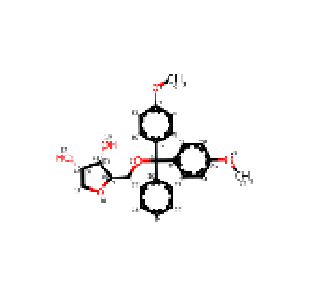 COc1ccc(C(OC[C@H]2OC[C@H](O)[C@@H]2O)(c2ccccc2)c2ccc(OC)cc2)cc1